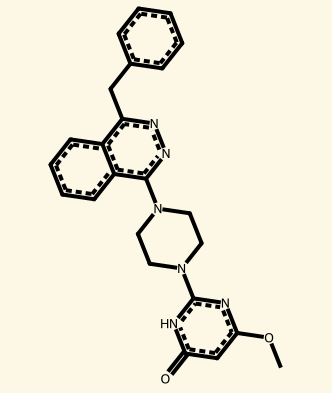 COc1cc(=O)[nH]c(N2CCN(c3nnc(Cc4ccccc4)c4ccccc34)CC2)n1